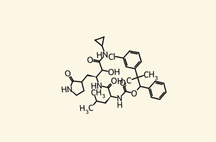 CC(C)C[C@H](NC(=O)OC(c1ccccc1)C(C)(C)c1cccc(Cl)c1)C(=O)N[C@@H](CC1CCNC1=O)C(O)C(=O)NC1CC1